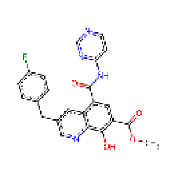 COC(=O)c1cc(C(=O)Nc2ccncn2)c2cc(Cc3ccc(F)cc3)cnc2c1O